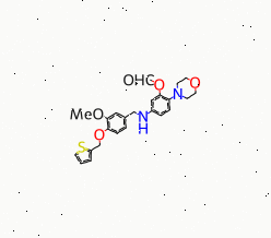 COc1cc(CNc2ccc(N3CCOCC3)c(OC=O)c2)ccc1OCc1cccs1